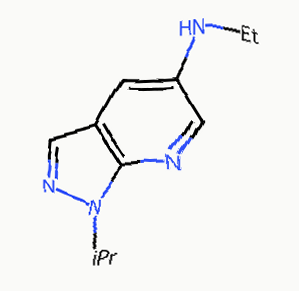 CCNc1cnc2c(cnn2C(C)C)c1